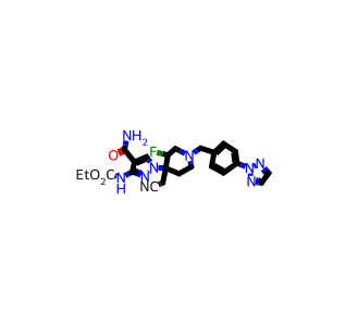 CCOC(=O)Nc1nn(C2(CC#N)CCN(Cc3ccc(-n4nccn4)cc3)CC2F)cc1C(N)=O